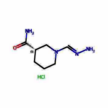 Cl.NN=CN1CCC[C@H](C(N)=O)C1